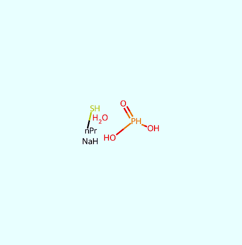 CCCS.O.O=[PH](O)O.[NaH]